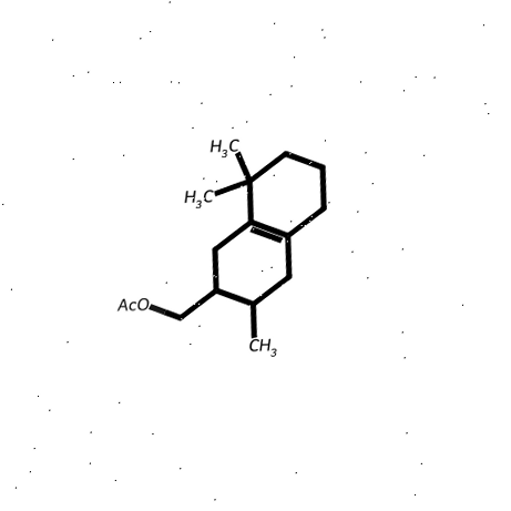 CC(=O)OCC1CC2=C(CCCC2(C)C)CC1C